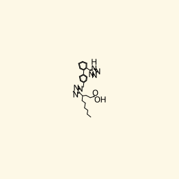 CCCCCCC(CCC(=O)O)c1ncnn1Cc1ccc(-c2ccccc2-c2nnn[nH]2)cc1